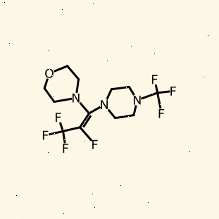 F/C(=C(/N1CCOCC1)N1CCN(C(F)(F)F)CC1)C(F)(F)F